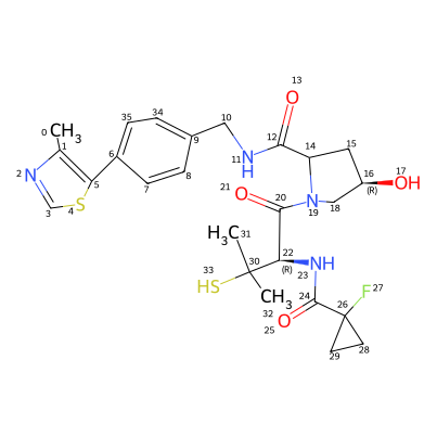 Cc1ncsc1-c1ccc(CNC(=O)C2C[C@@H](O)CN2C(=O)[C@@H](NC(=O)C2(F)CC2)C(C)(C)S)cc1